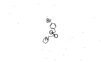 O=S(=O)(CCN1CCCC1)Cc1ccc(Br)cc1